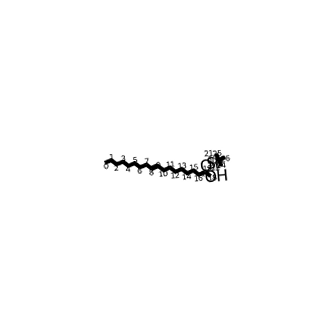 CCCCCCCCC=CCCCCCCCC(O)O[Si](C)(C)C(C)(C)C